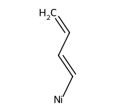 C=CC=[CH][Ni]